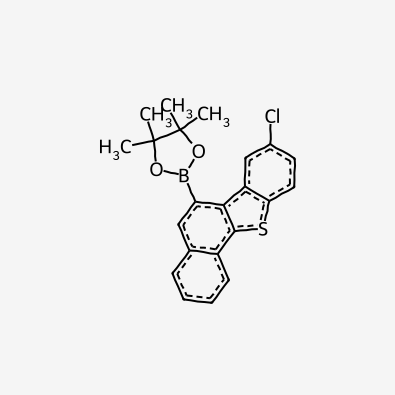 CC1(C)OB(c2cc3ccccc3c3sc4ccc(Cl)cc4c23)OC1(C)C